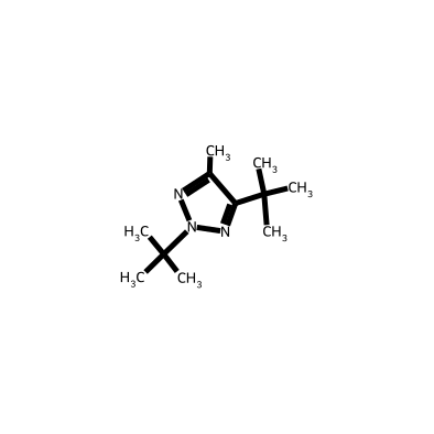 Cc1nn(C(C)(C)C)nc1C(C)(C)C